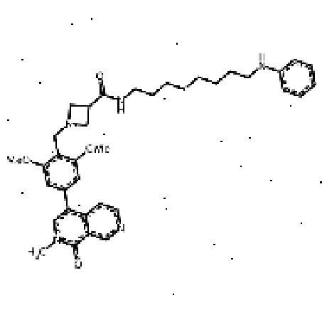 COc1cc(-c2cn(C)c(=O)c3cnccc23)cc(OC)c1CN1CC(C(=O)NCCCCCCCCNc2ccccc2)C1